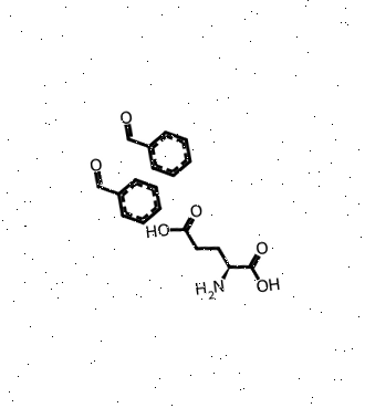 N[C@@H](CCC(=O)O)C(=O)O.O=Cc1ccccc1.O=Cc1ccccc1